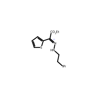 CCOC(=O)/C(=N/NCCC(C)C)c1cccs1